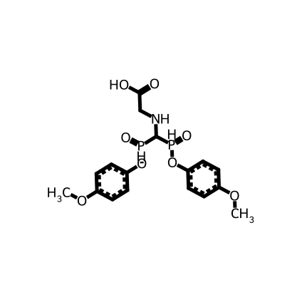 COc1ccc(O[PH](=O)C(NCC(=O)O)[PH](=O)Oc2ccc(OC)cc2)cc1